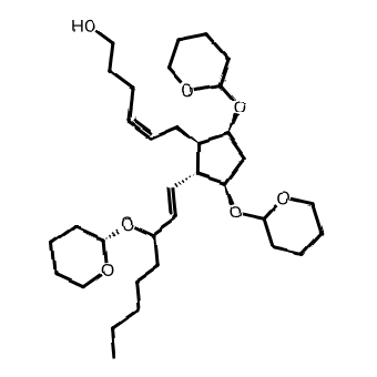 CCCCCC(/C=C/[C@@H]1[C@@H](C/C=C\CCCO)[C@@H](OC2CCCCO2)C[C@H]1OC1CCCCO1)O[C@H]1CCCCO1